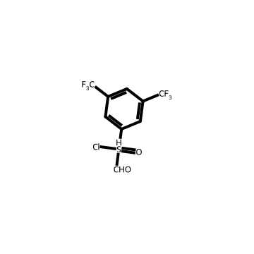 O=C[SH](=O)(Cl)c1cc(C(F)(F)F)cc(C(F)(F)F)c1